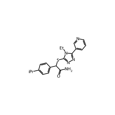 CCn1c(SC(C(N)=O)c2ccc(C(C)C)cc2)nnc1-c1cccnc1